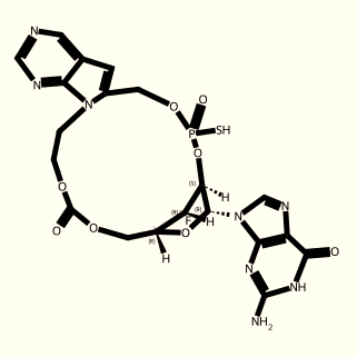 Nc1nc2c(ncn2[C@@H]2O[C@@H]3COC(=O)OCCn4c(cc5cncnc54)COP(=O)(S)O[C@@H]2[C@@H]3F)c(=O)[nH]1